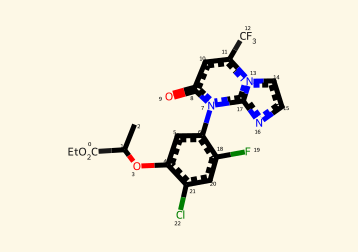 CCOC(=O)C(C)Oc1cc(-n2c(=O)cc(C(F)(F)F)n3ccnc23)c(F)cc1Cl